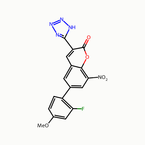 COc1ccc(-c2cc([N+](=O)[O-])c3oc(=O)c(-c4nnn[nH]4)cc3c2)c(F)c1